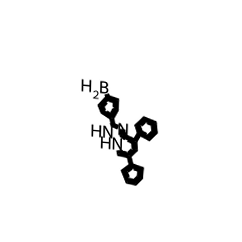 Bc1ccc(C(=N)/N=c2\[nH]cc(-c3ccccc3)cc2-c2ccccc2)cc1